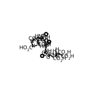 O=C(O)CC[C@H](NC(=O)N[C@@H](CCC(=O)N[C@@H](Cc1ccccc1)C(=O)NCCNC(=O)CNC(=O)C(Cc1ccccc1)NC(=O)[C@H](Cc1ccccc1)NC(=O)CN1CCN(CC(=O)O)CCN(CC(=O)O)CCN(C(=O)O)CC1)C(=O)O)C(=O)O